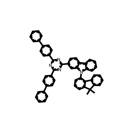 CC1(C)c2ccccc2-c2c(-n3c4ccccc4c4ccc(-c5nc(-c6ccc(-c7ccccc7)cc6)nc(-c6ccc(-c7ccccc7)cc6)n5)cc43)cccc21